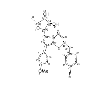 COc1ccc(-c2cn([C@@H]3O[C@H](C)[C@@H](O)[C@H]3O)c3c2CN(Nc2ccc(F)cc2)C=N3)cc1